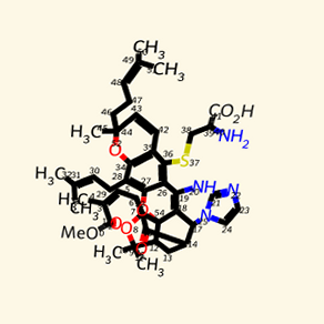 COC(=O)/C(C)=C\CC12OC(C)(C)C3CC(C1=O)C1C4=C(Nc5nccn51)c1c(c(CC=C(C)C)c5c(c1SCC(N)C(=O)O)C=CC(C)(CCC=C(C)C)O5)OC432